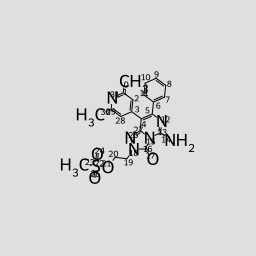 Cc1cc(-c2c(-c3ccccc3)nc(N)n3c(=O)n(CCOS(C)(=O)=O)nc23)cc(C)n1